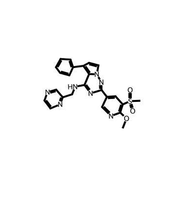 COc1ncc(-c2nc(NCc3cnccn3)c3c(-c4ccccc4)ccn3n2)cc1S(C)(=O)=O